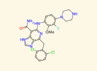 COc1c(Nc2nc(Cc3c(Cl)cccc3Cl)c3nc[nH]c3c2C(N)=O)ccc(N2CCNCC2)c1F